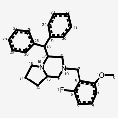 COc1cccc(F)c1CN1CC2CCCN2C(C(c2ccccc2)c2ccccc2)C1